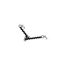 CCCCCCCCCCCCC(C[C]=O)OC(=O)CCCCCCCCCCC